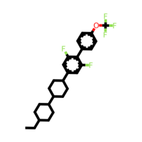 CCC1CCC(C2CCC(c3cc(F)c(-c4ccc(OC(F)(F)F)cc4)c(F)c3)CC2)CC1